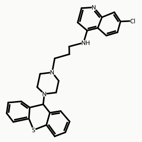 Clc1ccc2c(NCCCN3CCN(C4c5ccccc5Sc5ccccc54)CC3)ccnc2c1